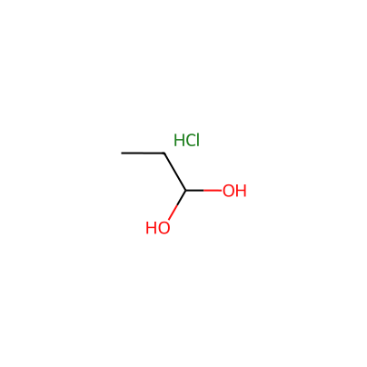 CCC(O)O.Cl